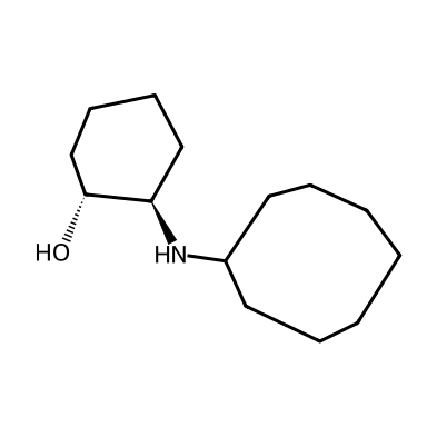 O[C@@H]1CCCC[C@H]1NC1CCCCCCC1